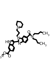 CCCCN(CCCC)C(=O)c1ccc2nc(-c3c[nH]c4cc(C(=O)OC)ccc34)n(CCCN3CCCCC3)c2c1